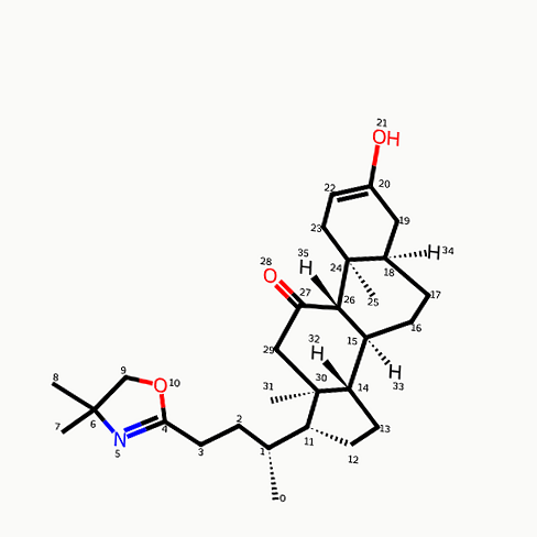 C[C@H](CCC1=NC(C)(C)CO1)[C@H]1CC[C@H]2[C@@H]3CC[C@@H]4CC(O)=CC[C@]4(C)[C@H]3C(=O)C[C@]12C